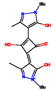 CC1=N[N+](C(C)(C)C)=C(O)/C1=C1\C(=O)C(c2c(C)nn(C(C)(C)C)c2O)=C1O